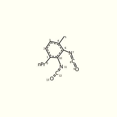 CCCc1ccc(C)c(N=C=O)c1N=C=O